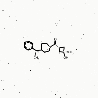 C[C@@H](c1ccccc1)C1CCN(C(=O)[C@H]2C[C@@](C)(O)C2)CC1